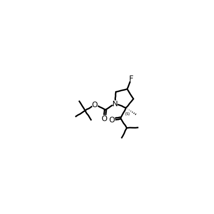 CC(C)C(=O)[C@]1(C)CC(F)CN1C(=O)OC(C)(C)C